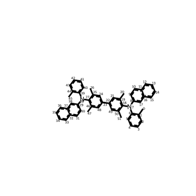 Cc1ccccc1N(c1ccc2ccccc2c1)c1c(C)cc(-c2cc(C)c(N(c3ccc4ccccc4c3)c3ccccc3C)c(C)c2)cc1C